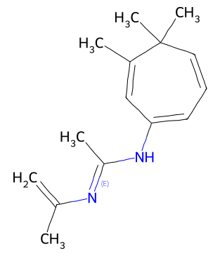 C=C(C)/N=C(\C)NC1=CC=CC(C)(C)C(C)=C1